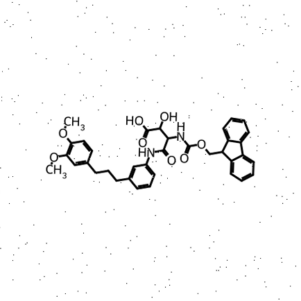 COc1ccc(CCCc2cccc(NC(=O)C(NC(=O)OCC3c4ccccc4-c4ccccc43)C(O)C(=O)O)c2)cc1OC